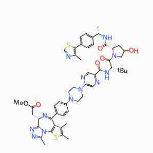 COC(=O)C[C@@H]1N=C(c2ccc(N3CCN(c4cnc(C(=O)N[C@H](C(=O)N5C[C@H](O)C[C@H]5C(=O)N[C@@H](C)c5ccc(-c6scnc6C)cc5)C(C)(C)C)cn4)CC3)cc2)c2c(sc(C)c2C)-n2c(C)nnc21